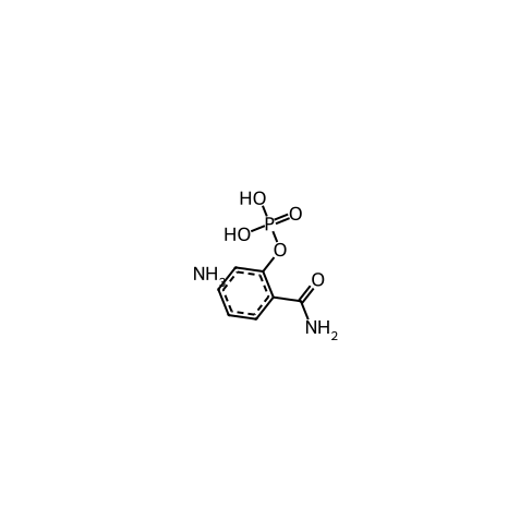 N.NC(=O)c1ccccc1OP(=O)(O)O